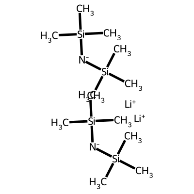 C[Si](C)(C)[N-][Si](C)(C)C.C[Si](C)(C)[N-][Si](C)(C)C.[Li+].[Li+]